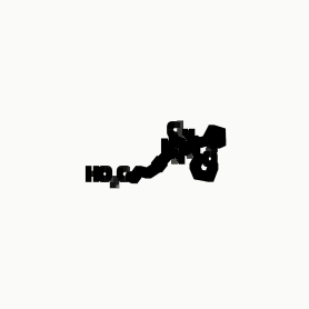 O=C(O)CCCC#Cc1nc(Cl)c2nc(-c3cccs3)n(C3CCCCO3)c2n1